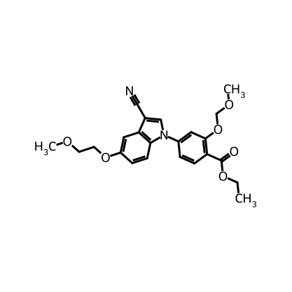 CCOC(=O)c1ccc(-n2cc(C#N)c3cc(OCCOC)ccc32)cc1OCOC